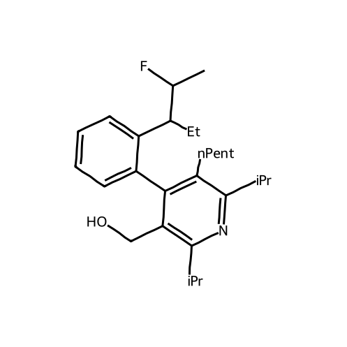 CCCCCc1c(C(C)C)nc(C(C)C)c(CO)c1-c1ccccc1C(CC)C(C)F